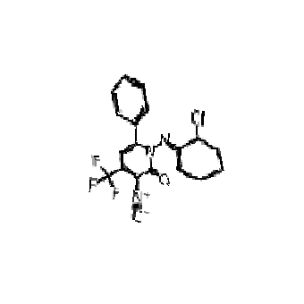 [C-]#[N+]c1c(C(F)(F)F)cc(-c2ccccc2)n(/N=C2\CCCCC2Cl)c1=O